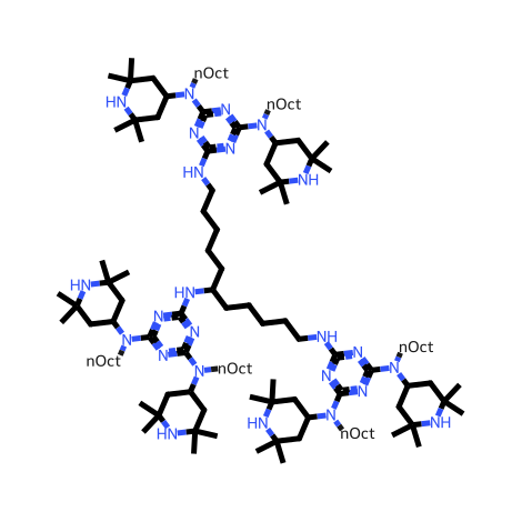 CCCCCCCCN(c1nc(NCCCCCC(CCCCCNc2nc(N(CCCCCCCC)C3CC(C)(C)NC(C)(C)C3)nc(N(CCCCCCCC)C3CC(C)(C)NC(C)(C)C3)n2)Nc2nc(N(CCCCCCCC)C3CC(C)(C)NC(C)(C)C3)nc(N(CCCCCCCC)C3CC(C)(C)NC(C)(C)C3)n2)nc(N(CCCCCCCC)C2CC(C)(C)NC(C)(C)C2)n1)C1CC(C)(C)NC(C)(C)C1